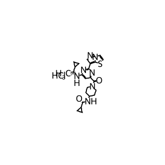 C[C@@H](Nc1cc(C(=O)N2CCC(NC(=O)C3CC3)CC2)nc(-c2cnn3ccsc23)n1)C1CC1.Cl